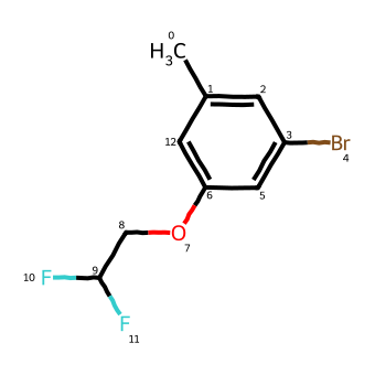 Cc1cc(Br)cc(OCC(F)F)c1